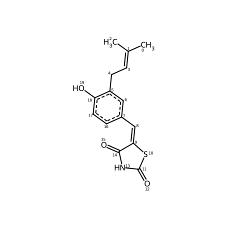 CC(C)=CCc1cc(/C=C2/SC(=O)NC2=O)ccc1O